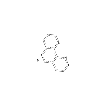 [P].c1cnc2c(c1)ccc1cccnc12